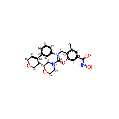 Cc1cc(C(=O)NO)ccc1CN(C(=O)N1CCOCC1)c1cccc(C2=CCOCC2)c1